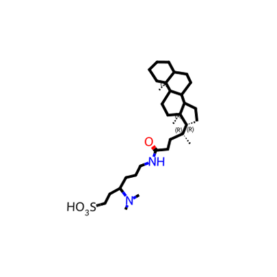 C[C@H](CCC(=O)NCCCC(CCS(=O)(=O)O)N(C)C)[C@H]1CCC2C3CCC4CCCC[C@]4(C)C3CC[C@@]21C